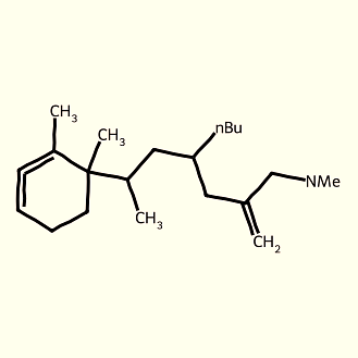 C=C(CNC)CC(CCCC)CC(C)C1(C)CCC=C=C1C